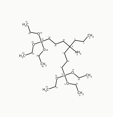 CCCC(N)(CCC[Si](OCC)(OCC)OCC)CCC[Si](OCC)(OCC)OCC